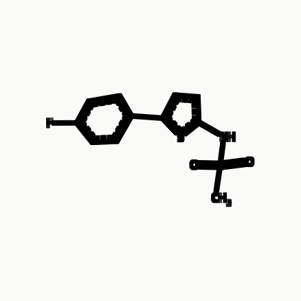 CS(=O)(=O)Nc1ccc(-c2ccc(F)cc2)s1